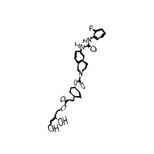 O=C(Nc1ccc2c(c1)CCN(C(=O)O[C@H]1CC[C@H](CC(=O)OC[C@H](O)CO)CC1)C2)Nc1ccccc1F